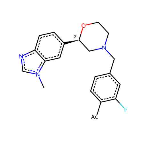 CC(=O)c1ccc(CN2CCO[C@H](c3ccc4ncn(C)c4c3)C2)cc1F